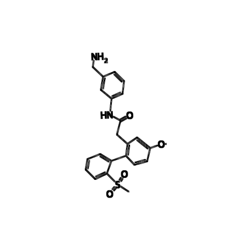 CS(=O)(=O)c1ccccc1-c1ccc([O])cc1CC(=O)Nc1cccc(CN)c1